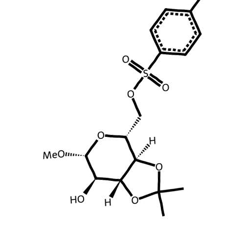 CO[C@@H]1O[C@H](COS(=O)(=O)c2ccc(C)cc2)[C@H]2OC(C)(C)O[C@@H]2[C@H]1O